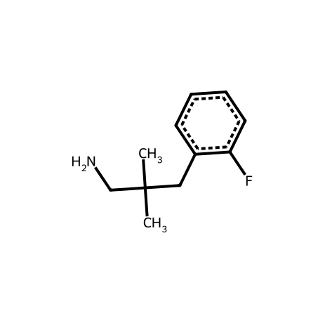 CC(C)(CN)Cc1ccccc1F